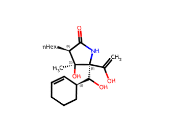 C=C(O)[C@]1(C(O)[C@@H]2C=CCCC2)NC(=O)[C@H](CCCCCC)[C@]1(C)O